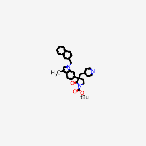 Cc1cn(Cc2ccc3ccccc3c2)c2cc(C3(Cc4ccncc4)CCN(C(=O)OC(C)(C)C)C3=O)ccc12